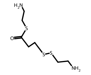 NCCSSCCC(=O)SCCN